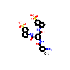 Cc1ccc(C(=O)Nc2cc(C(=O)Nc3cccc4cc(S(=O)(=O)O)ccc34)cc(C(=O)Nc3cccc4cc(S(=O)(=O)O)ccc34)c2)cc1N